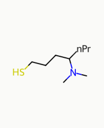 CCCC(CCCS)N(C)C